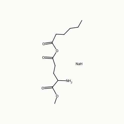 CCCCCC(=O)OC(=O)CCC(N)C(=O)OC.[NaH]